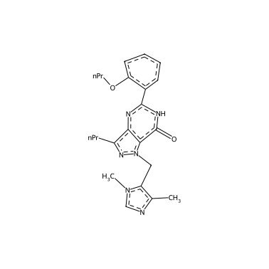 CCCOc1ccccc1-c1nc2c(CCC)nn(Cc3c(C)ncn3C)c2c(=O)[nH]1